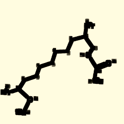 CCCC(CCCCCCCC(CCC)OC(C)(C)C)COC(=O)C(C)(C)C